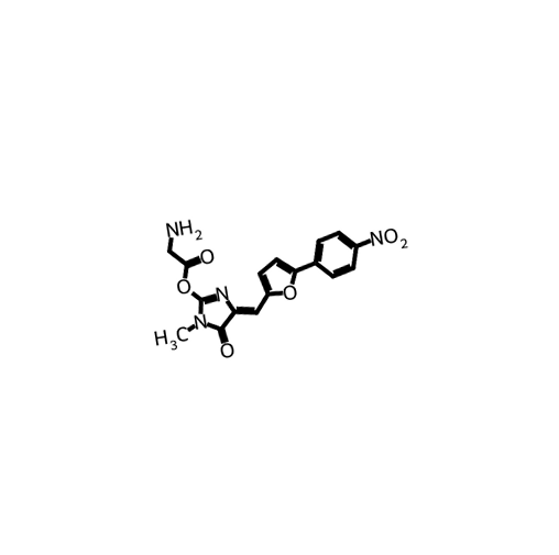 CN1C(=O)C(=Cc2ccc(-c3ccc([N+](=O)[O-])cc3)o2)N=C1OC(=O)CN